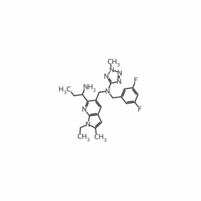 CCC(N)c1nc2c(cc1CN(Cc1cc(F)cc(F)c1)c1nnn(C)n1)cc(C)n2CC